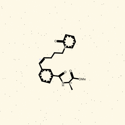 COC(=O)[C@@H](C)NC(=O)c1cccc(/C=C\CCCn2ccccc2=O)c1